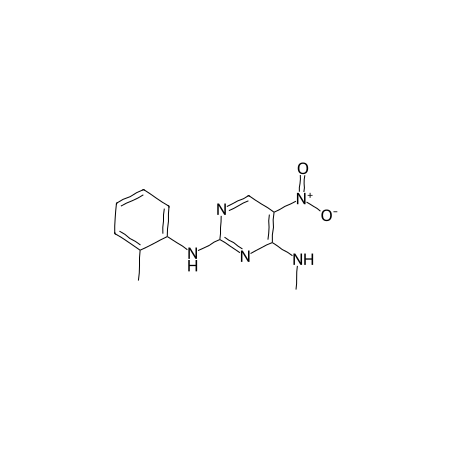 CNc1nc(Nc2ccccc2C)ncc1[N+](=O)[O-]